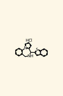 Cl.c1ccc2c(c1)CNC(c1cc3ccccc3s1)c1cccn1-2